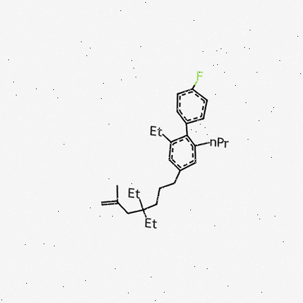 C=C(C)CC(CC)(CC)CCCc1cc(CC)c(-c2ccc(F)cc2)c(CCC)c1